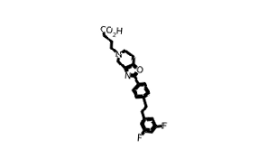 O=C(O)CCCN1CCc2oc(-c3ccc(CCc4cc(F)cc(F)c4)cc3)nc2C1